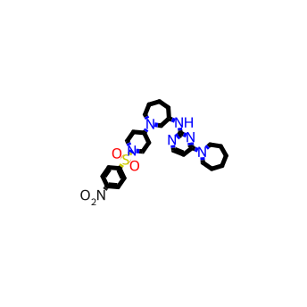 O=[N+]([O-])c1ccc(S(=O)(=O)N2CCC(N3CCCCC(Nc4nccc(N5CCCCCC5)n4)C3)CC2)cc1